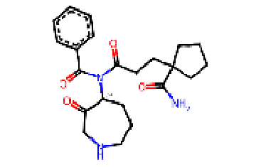 NC(=O)C1(C[CH]C(=O)N(C(=O)c2ccccc2)[C@H]2CCCNCC2=O)CCCC1